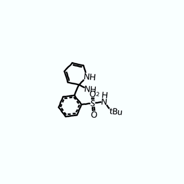 CC(C)(C)NS(=O)(=O)c1ccccc1C1(N)C=CC=CN1